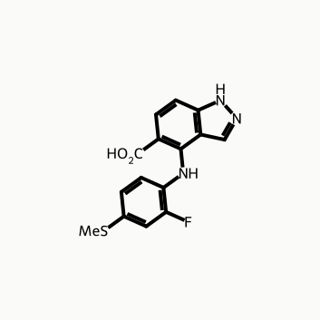 CSc1ccc(Nc2c(C(=O)O)ccc3[nH]ncc23)c(F)c1